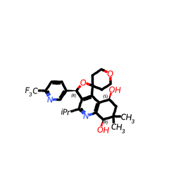 CC(C)c1nc2c(c3c1[C@@H](c1ccc(C(F)(F)F)nc1)OC31CCOCC1)[C@@H](O)CC(C)(C)[C@H]2O